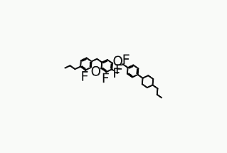 CCCc1ccc2c(c1F)Oc1c(cc(OC(F)(F)c3ccc(C4CCC(CCC)CC4)cc3)c(F)c1F)C2